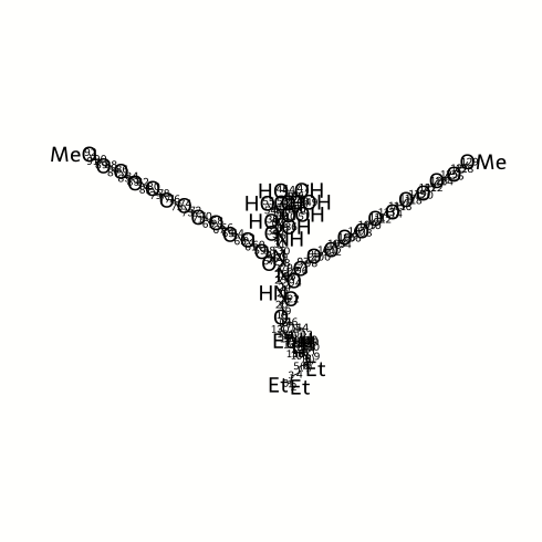 CCC(CC)CCC[C@@H](CC)[C@H]1CC[C@H]2[C@@H]3CC=C4C[C@@H](OCCC(=O)NCCN(CCN(CCNC(=O)[C@H](O)[C@@H](O)[C@H](O[C@@H]5O[C@H](CO)[C@H](O)[C@H](O)[C@H]5O)[C@H](O)CO)C(=O)COCCOCCOCCOCCOCCOCCOCCOCCOCCOCCOCCOC)C(=O)COCCOCCOCCOCCOCCOCCOCCOCCOCCOCCOCCOC)CC[C@]4(CC)[C@H]3CC[C@]12C